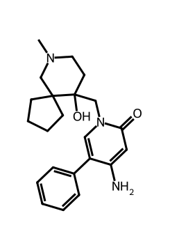 CN1CCC(O)(Cn2cc(-c3ccccc3)c(N)cc2=O)C2(CCCC2)C1